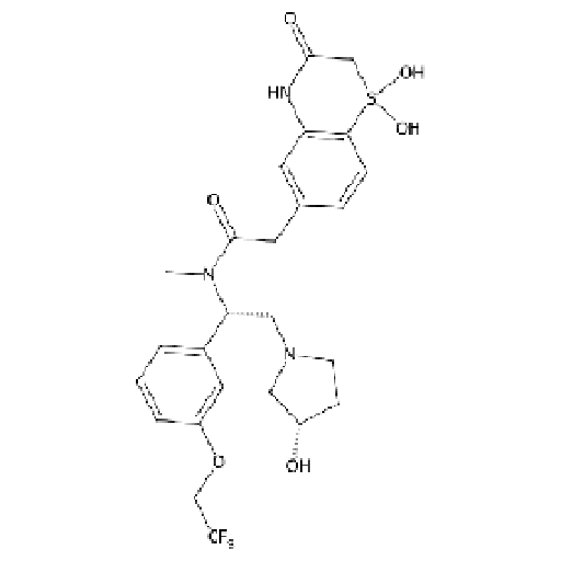 CN(C(=O)Cc1ccc2c(c1)NC(=O)CS2(O)O)[C@H](CN1CC[C@H](O)C1)c1cccc(OCC(F)(F)F)c1